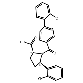 O=C(O)[C@@H]1CC[C@H](c2ccccc2Cl)N1C(=O)c1ccc(-c2ccccc2Cl)nc1